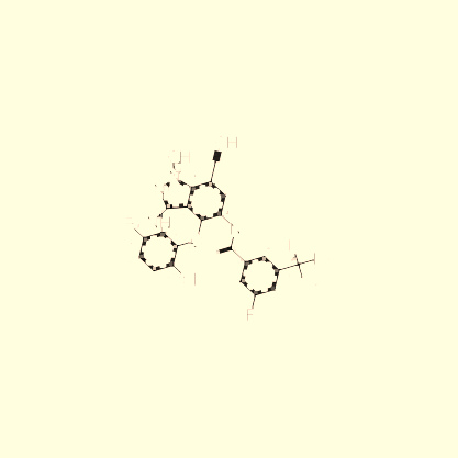 C#Cc1cc(NC(=O)c2cc(F)cc(C(F)(F)F)c2)c(Oc2cc(F)ccc2Cl)c2c(N)nn(C)c12